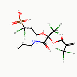 C=C(C(=O)OC(OCCC(F)(F)S(=O)(=O)O)(C(=O)NCCC)C(F)(F)F)C(F)(F)F